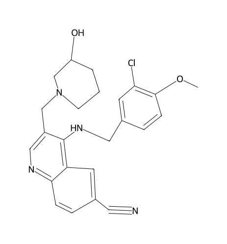 COc1ccc(CNc2c(CN3CCCC(O)C3)cnc3ccc(C#N)cc23)cc1Cl